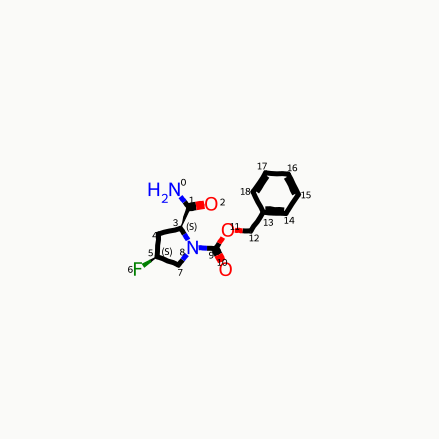 NC(=O)[C@@H]1C[C@H](F)CN1C(=O)OCc1ccccc1